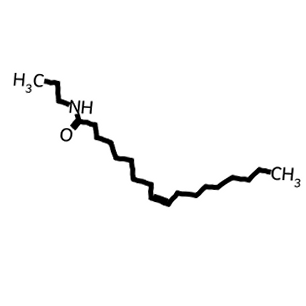 CCCCCCCC/C=C\CCCCCCCC(=O)NCCC